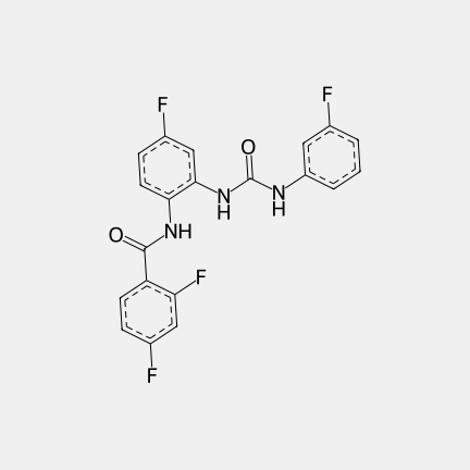 O=C(Nc1cccc(F)c1)Nc1cc(F)ccc1NC(=O)c1ccc(F)cc1F